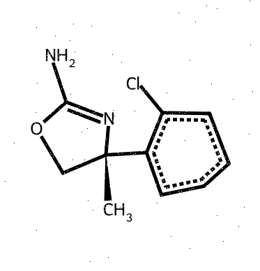 C[C@@]1(c2ccccc2Cl)COC(N)=N1